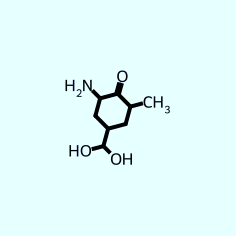 CC1CC(C(O)O)CC(N)C1=O